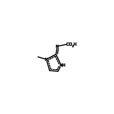 Cn1cc[nH]c1=NC(=O)O